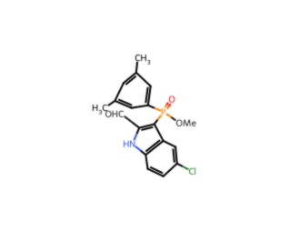 COP(=O)(c1cc(C)cc(C)c1)c1c(C=O)[nH]c2ccc(Cl)cc12